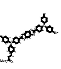 CCCc1ccc(N(c2ccc(C)cc2)c2ccc(-c3nc4cc5sc(-c6ccc(N(c7ccc(C)cc7)c7ccc(CCC(=O)OC)cc7)cc6)nc5cc4s3)cc2)cc1